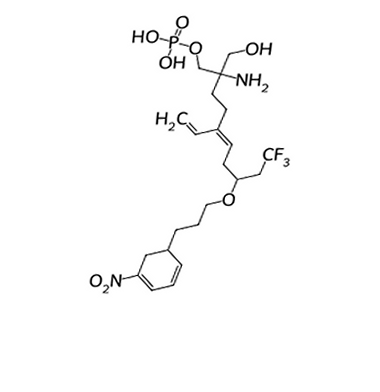 C=C/C(=C\CC(CC(F)(F)F)OCCCC1C=CC=C([N+](=O)[O-])C1)CCC(N)(CO)COP(=O)(O)O